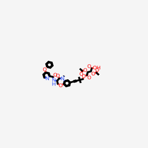 CC(=O)O[C@@H](C(=O)O)[C@@H](OC(C)=O)C(=O)OCC(C)(C)C#Cc1ccc2c(c1)N(C)C(=O)C(NC(=O)c1cc(Oc3ccccc3)ccn1)CO2